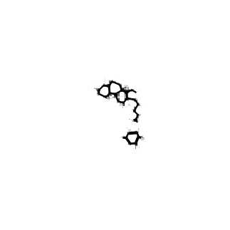 C[C@H](CCC(=O)Oc1c(F)c(F)cc(F)c1F)[C@H]1CC[C@H]2[C@@H]3CC[C@@H]4C[C@H](O)CC[C@@H]4[C@H]3C[C@H](O)[C@]12C